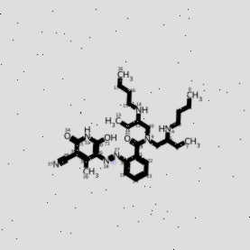 CCCCNC(CC)CN(CC(CC)NCCCC)C(=O)c1ccccc1/N=N/c1c(O)[nH]c(=O)c(C#N)c1C